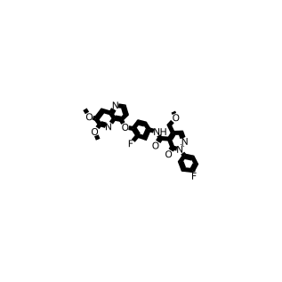 COCc1cnn(-c2ccc(F)cc2)c(=O)c1C(=O)Nc1ccc(Oc2ccnc3cc(OC)c(OC)nc23)c(F)c1